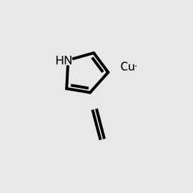 C=C.[Cu].c1cc[nH]c1